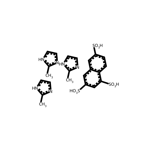 Cc1ncc[nH]1.Cc1ncc[nH]1.Cc1ncc[nH]1.O=S(=O)(O)c1ccc2c(S(=O)(=O)O)cc(S(=O)(=O)O)cc2c1